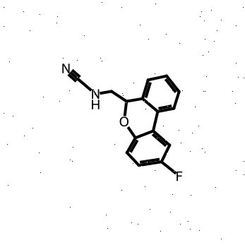 N#CNCC1Oc2ccc(F)cc2-c2ccccc21